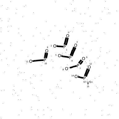 O=P[O-].O=P[O-].O=P[O-].O=P[O-].O=P[O-].[V+5]